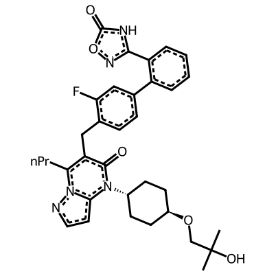 CCCc1c(Cc2ccc(-c3ccccc3-c3noc(=O)[nH]3)cc2F)c(=O)n([C@H]2CC[C@H](OCC(C)(C)O)CC2)c2ccnn12